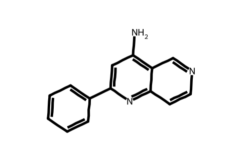 Nc1cc(-c2ccccc2)nc2ccncc12